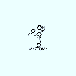 COc1ccc(CCOC2CN(c3ncnc4ccccc34)CC(Oc3ccccc3Cl)O2)cc1OC